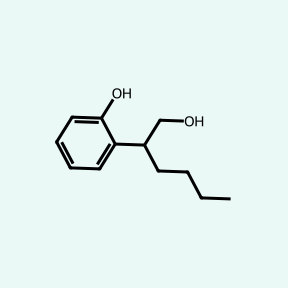 CCCCC(CO)c1ccccc1O